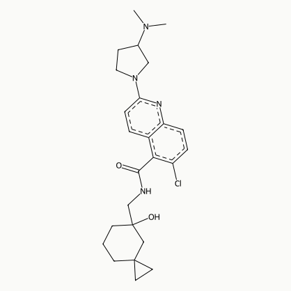 CN(C)C1CCN(c2ccc3c(C(=O)NCC4(O)CCCC5(CC5)C4)c(Cl)ccc3n2)C1